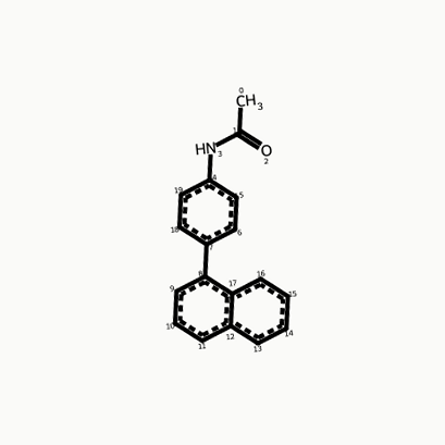 CC(=O)Nc1[c]cc(-c2cccc3ccccc23)cc1